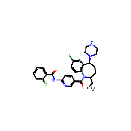 O=C(O)CC1CCC(N2CCNCC2)c2cc(Cl)ccc2N1C(=O)c1ccc(NC(=O)c2ccccc2Cl)nc1